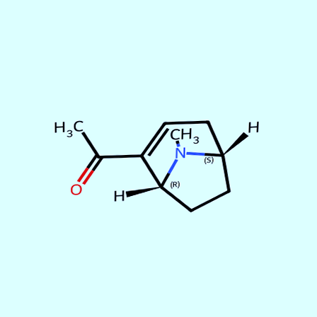 CC(=O)C1=CC[C@@H]2CC[C@H]1N2C